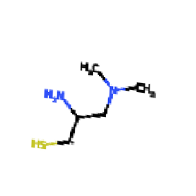 CN(C)CC(N)[CH]S